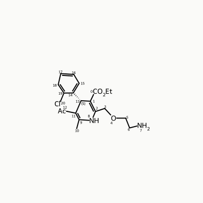 CCOC(=O)C1=C(COCCN)NC(C)=C(C(C)=O)[C@@H]1c1ccccc1Cl